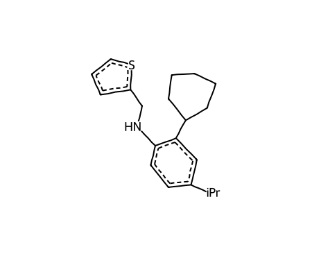 CC(C)c1ccc(NCc2cccs2)c(C2CCCCC2)c1